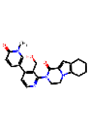 Cn1cc(-c2ccnc(N3CCn4c(cc5c4CCCC5)C3=O)c2CO)ccc1=O